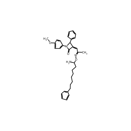 COc1ccc(N2C(=O)C(=CC(C)=NOC(N)CCCCCCCc3ccccc3)C2c2ccccc2)cc1